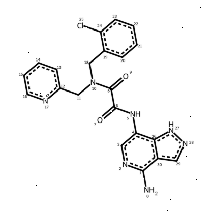 Nc1ncc(NC(=O)C(=O)N(Cc2ccccn2)Cc2ccccc2Cl)c2[nH]ncc12